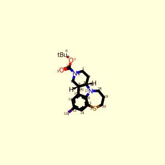 CC(C)(C)OC(=O)N1CC[C@H]2[C@@H](C1)c1cc(I)cc3c1N2CCCS3